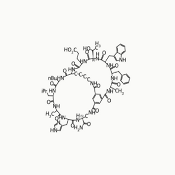 CCCCC1NC(=O)C2CCCCNC(=O)c3cc(cc(c3)C(=O)NC(C)C(=O)NC(Cc3ccccc3)C(=O)NC(Cc3c[nH]c4ccccc34)C(=O)N[C@H](C(C)O)C(=O)NC(CCC(=O)O)C(=O)N2)C(=O)NC[C@@H](C(N)=O)NC(=O)C(Cc2c[nH]cn2)NC(=O)C(C)NC(=O)C(CC(C)C)NC1=O